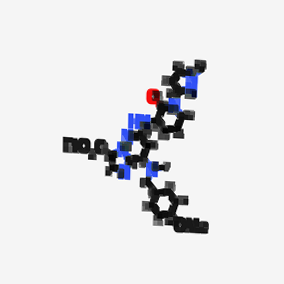 CCOC(=O)c1cnc2c(N(C)Cc3ccc(OC)cc3)cc(Nc3cccn(-c4ccn(C)n4)c3=O)nn12